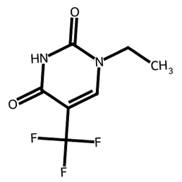 CCn1cc(C(F)(F)F)c(=O)[nH]c1=O